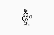 FC(F)(F)C1C=Cc2cc(Br)cc(Cl)c2O1